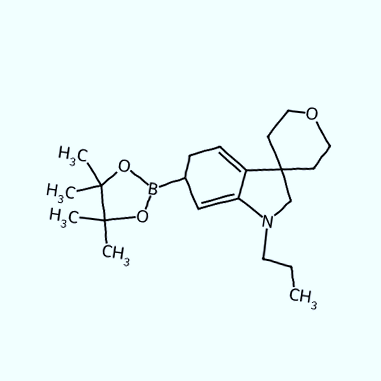 CCCN1CC2(CCOCC2)C2=CCC(B3OC(C)(C)C(C)(C)O3)C=C21